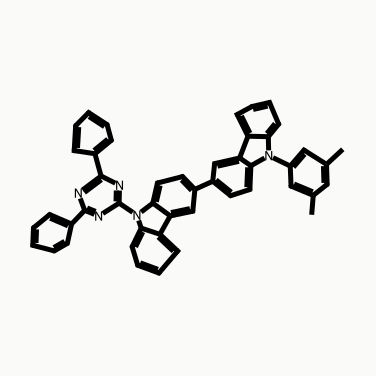 Cc1cc(C)cc(-n2c3ccccc3c3cc(-c4ccc5c(c4)c4ccccc4n5-c4nc(-c5ccccc5)nc(-c5ccccc5)n4)ccc32)c1